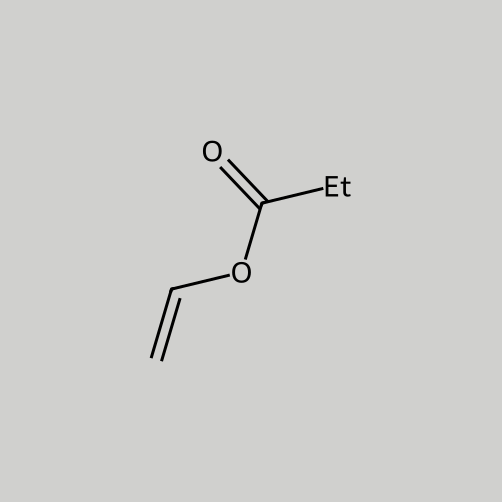 C=COC(=O)CC